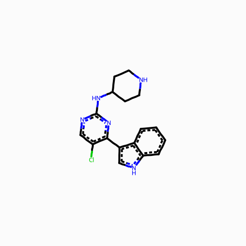 Clc1cnc(NC2CCNCC2)nc1-c1c[nH]c2ccccc12